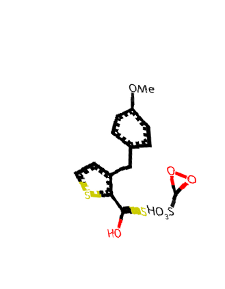 COc1ccc(Cc2ccsc2C(O)=S)cc1.O=S(=O)(O)C1OO1